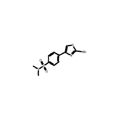 CN(C)S(=O)(=O)c1ccc(-c2csc(C(C)(C)C)n2)cc1